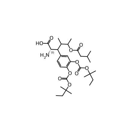 CCC(C)(C)OC(=O)Oc1ccc(C(C(C)C(C)OC(=O)CC(C)C)[C@H](N)C(=O)O)cc1OC(=O)OC(C)(C)CC